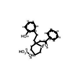 CN1CCCCC1(CCc1ccccc1O)CC(=O)c1ccccc1.O=S(=O)(O)O